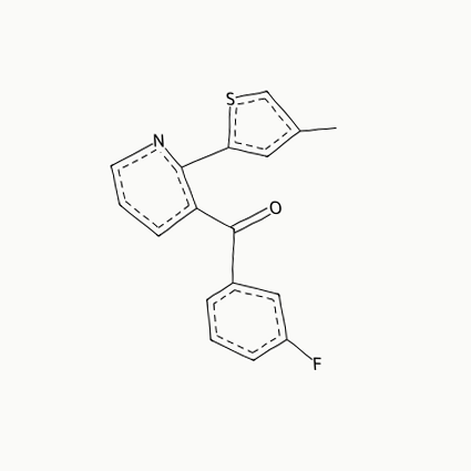 Cc1csc(-c2ncccc2C(=O)c2cccc(F)c2)c1